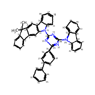 CC1(C)c2ccccc2-c2cc3c(cc21)c1ccccc1n3-c1nc(-c2ccc(-c3ccccc3)cc2)nc(-n2c3ccccc3c3ccccc32)n1